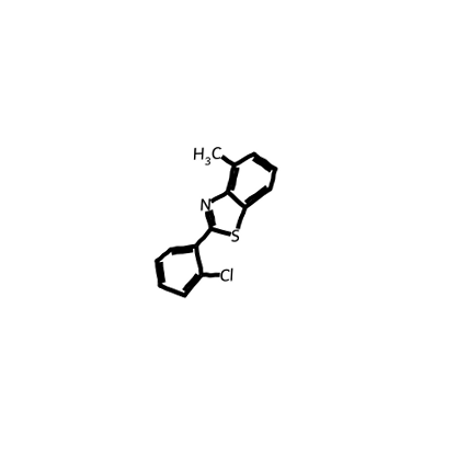 Cc1cccc2sc(-c3ccccc3Cl)nc12